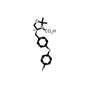 CC1(C)OC[C@H](Cc2ccc(Sc3ccc(F)cc3)cc2)N1C(=O)O